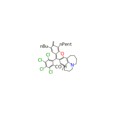 C=c1c(CCCC)cc2c(c1CCCCC)Oc1c(cc3c4c1CCCCN4CCC3)C=2c1c(Cl)c(Cl)c(Cl)c(Cl)c1C(=O)O